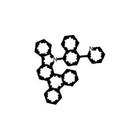 c1ccc(-c2ccc(-n3c4ccccc4c4ccc5c6ccccc6c6ccccc6c5c43)c3ccccc23)nc1